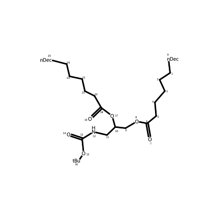 CCCCCCCCCCCCCCCC(=O)OCC(CNC(=O)OC(C)(C)C)OC(=O)CCCCCCCCCCCCCCC